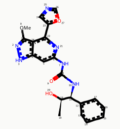 COc1n[nH]c2cc(NC(=O)N[C@@H](c3ccccc3)[C@@H](C)O)nc(-c3cnco3)c12